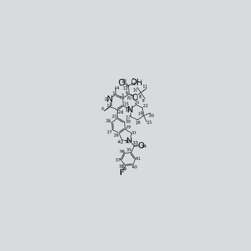 Cc1nc(C)c([C@H](OC(C)(C)C)C(=O)O)c(N2CCC(C)(C)CC2)c1-c1ccc2c(c1)CN(C(=O)c1ccc(F)cc1)C2